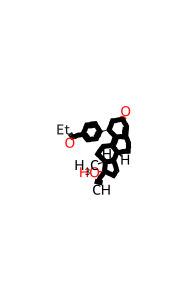 C#C[C@]1(O)CC[C@H]2[C@@H]3CCC4=CC(=O)C[C@@H](c5ccc(C(=O)CC)cc5)C4=C3CC[C@@]21C